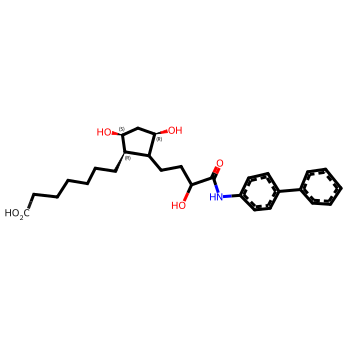 O=C(O)CCCCCC[C@@H]1C(CCC(O)C(=O)Nc2ccc(-c3ccccc3)cc2)[C@H](O)C[C@@H]1O